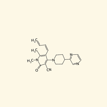 C=C/C=C\c1c(N2CCC(c3cnccn3)CC2)c(C#N)c(=O)n(C)c1C